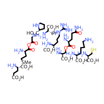 CC(C)[C@H](N)C(=O)O.CSCC[C@H](N)C(=O)OC(=O)CN.N=C(N)NCCC[C@H](N)C(=O)O.NC(=O)CC[C@H](N)C(=O)OC[C@H](N)C(=O)O.NCCCC[C@H](N)C(=O)O.N[C@@H](CCC(=O)O)C(=O)O.N[C@@H](CS)C(=O)O.O=C(O)[C@@H]1CCCN1